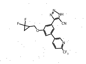 N#Cc1[nH]nnc1-c1cc(OCC2CC2(F)F)cc(-c2ccc(C(F)(F)F)nc2)c1